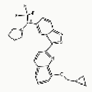 FC(F)(F)[C@@H](c1ccc2nnc(-c3ccc4cccc(OCC5CC5)c4n3)n2c1)N1CCCC1